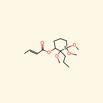 CC=CC(=O)OC1CCC[Si](OC)(OC)C1(CCC)OC